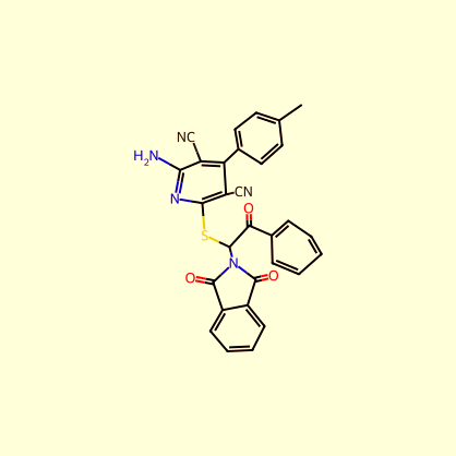 Cc1ccc(-c2c(C#N)c(N)nc(SC(C(=O)c3ccccc3)N3C(=O)c4ccccc4C3=O)c2C#N)cc1